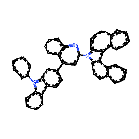 c1ccc(-n2c3ccccc3c3ccc(-c4cc(-n5c6ccc7ccccc7c6c6c7ccccc7ccc65)nc5ccccc45)cc32)cc1